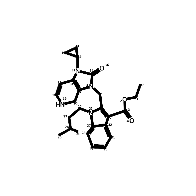 CCOC(=O)c1c(Cn2c3c(n(C4CC4)c2=O)C=CNC3)n(CCC(C)C)c2ccccc12